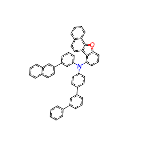 c1ccc(-c2cccc(-c3ccc(N(c4cccc(-c5ccc6ccccc6c5)c4)c4cccc5oc6c7ccccc7ccc6c45)cc3)c2)cc1